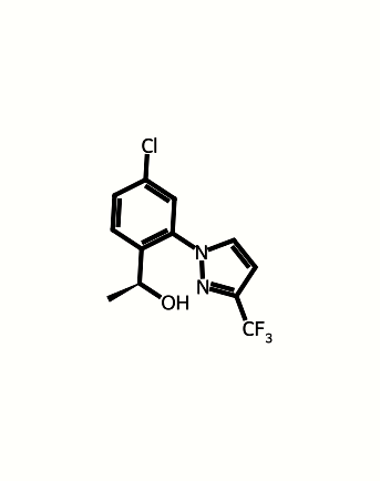 C[C@H](O)c1ccc(Cl)cc1-n1ccc(C(F)(F)F)n1